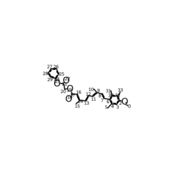 COc1cc(C)c(C=CC(C)=CC=CC(C)=CC(=O)OCC(=O)Oc2ccccc2)c(C)c1C